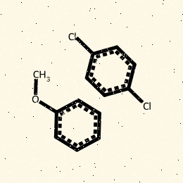 COc1ccccc1.Clc1ccc(Cl)cc1